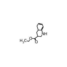 CCOC(=O)C1CNC2=CC=CCC2C1